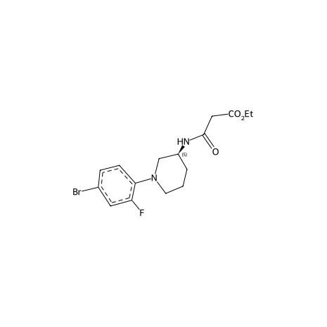 CCOC(=O)CC(=O)N[C@H]1CCCN(c2ccc(Br)cc2F)C1